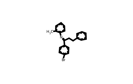 Cc1ccccc1/N=C(\CCc1ccccc1)c1ccc(Br)cc1